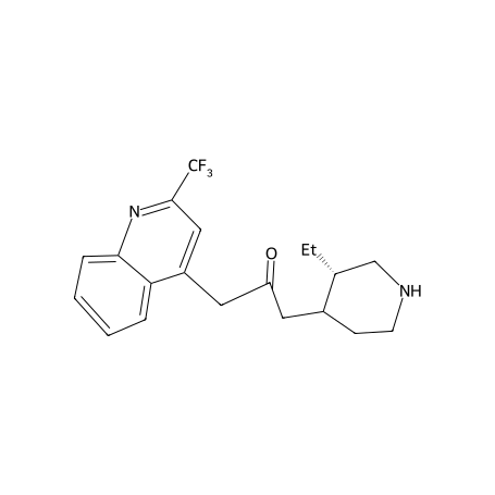 CC[C@@H]1CNCCC1CC(=O)Cc1cc(C(F)(F)F)nc2ccccc12